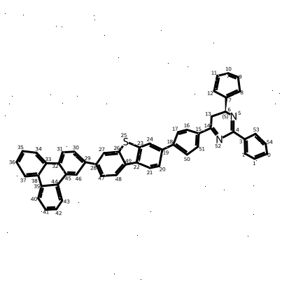 c1ccc(C2=N[C@H](c3ccccc3)CC(c3ccc(-c4ccc5c(c4)sc4cc(-c6ccc7c8ccccc8c8ccccc8c7c6)ccc45)cc3)=N2)cc1